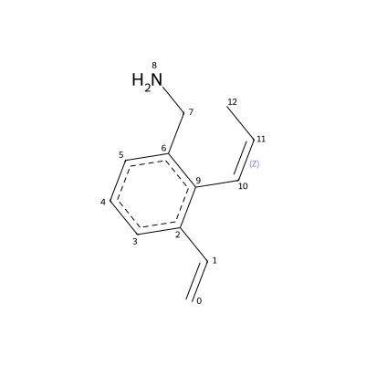 C=Cc1cccc(CN)c1/C=C\C